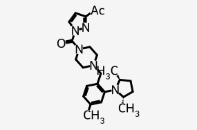 CC(=O)c1ccn(C(=O)N2CCN(Cc3ccc(C)cc3N3[C@@H](C)CC[C@@H]3C)CC2)n1